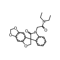 CCN(CC)C(=O)CN1C(=O)C2(COc3cc4c(cc32)OCO4)c2ccccc21